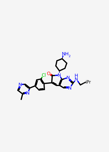 Cc1cncc(-c2ccc(-c3cc4cnc(NCC(C)C)nc4n([C@H]4CC[C@H](N)CC4)c3=O)c(Cl)c2)n1